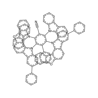 N#Cc1c(-n2c3ccccc3c3ccccc32)c(-n2c3ccc(-c4ccccc4)cc3c3ccc4oc5ccccc5c4c32)c(-c2ccccc2)c(-n2c3ccc(-c4ccccc4)cc3c3ccc4oc5ccccc5c4c32)c1-n1c2ccccc2c2ccccc21